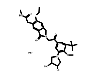 Br.CCOc1cc2c(cc1CC(=O)NC)C(=N)N(CC(=O)c1cc(N3CC(O)C(O)C3)c(OC)c(C(C)(C)C)c1)C2